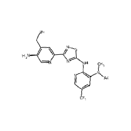 CC(=O)N(C)c1cc(C(F)(F)F)cnc1Nc1nc(-c2cc(CC(C)C)c(N)cn2)ns1